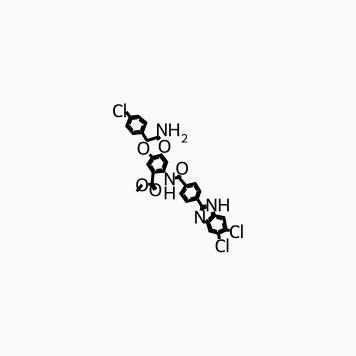 COC(=O)c1cc(OC(C(N)=O)c2ccc(Cl)cc2)ccc1NC(=O)c1ccc(-c2nc3cc(Cl)c(Cl)cc3[nH]2)cc1